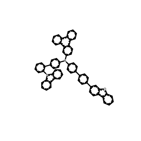 c1ccc(-n2c3ccccc3c3ccccc32)c(-c2ccc(N(c3ccc(-c4ccc(-c5ccc6c(c5)oc5ccccc56)cc4)cc3)c3ccc4c5ccccc5c5ccccc5c4c3)cc2)c1